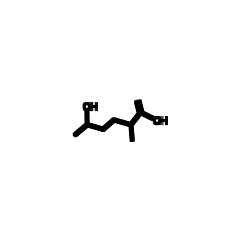 C=C(O)C(C)CCC(C)O